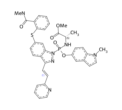 CNC(=O)c1ccccc1Sc1ccc2c(/C=C/c3ccccn3)nn(P(=O)(N[C@@H](C)C(=O)OC)Oc3ccc4c(ccn4C)c3)c2c1